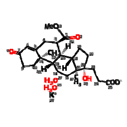 COC(=O)[C@@H]1CC2=CC(=O)CC[C@]2(C)[C@H]2CC[C@@]3(C)[C@@H](CC[C@@]3(O)CCC(=O)[O-])[C@H]12.O.O.[K+]